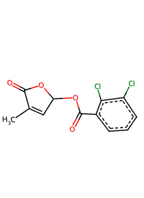 CC1=CC(OC(=O)c2cccc(Cl)c2Cl)OC1=O